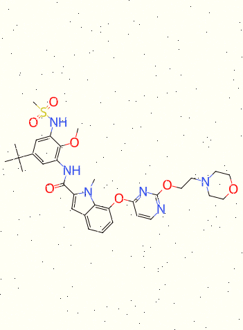 COc1c(NC(=O)c2cc3cccc(Oc4ccnc(OCCN5CCOCC5)n4)c3n2C)cc(C(C)(C)C)cc1NS(C)(=O)=O